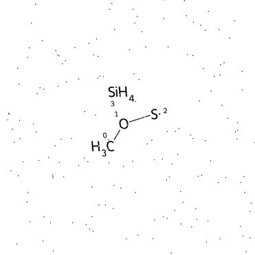 CO[S].[SiH4]